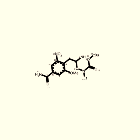 CCN(OC(N)Cc1c(OC)cc(C(N)=O)cc1[N+](=O)[O-])C(=O)OC(C)(C)C